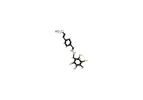 O=C(O)/C=C/c1ccc(/C=N/OCc2c(F)c(F)c(F)c(F)c2F)cc1